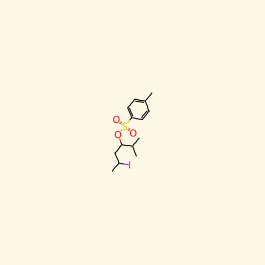 Cc1ccc(S(=O)(=O)OC(CC(C)I)C(C)C)cc1